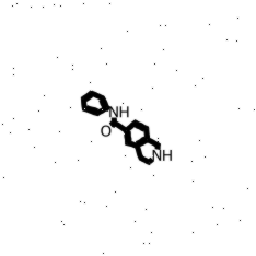 O=C(Nc1ccccc1)c1ccc2c(c1)CCNC2